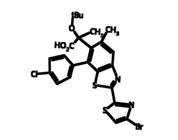 Cc1cc2nc(-c3nc(Br)cs3)sc2c(-c2ccc(Cl)cc2)c1C(C)(OC(C)(C)C)C(=O)O